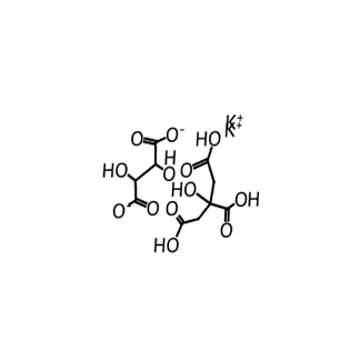 O=C(O)CC(O)(CC(=O)O)C(=O)O.O=C([O-])C(O)C(O)C(=O)[O-].[K+].[K+]